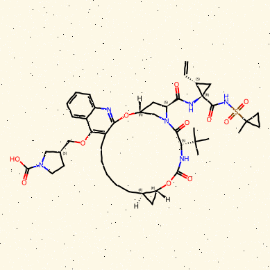 C=C[C@@H]1C[C@]1(NC(=O)[C@@H]1C[C@@H]2CN1C(=O)[C@H](C(C)(C)C)NC(=O)O[C@@H]1C[C@H]1CCCCCc1c(nc3ccccc3c1OC[C@H]1CCN(C(=O)O)C1)O2)C(=O)NS(=O)(=O)C1(C)CC1